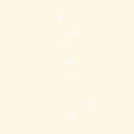 Cc1ccc(-n2c(-c3ccc(C=C(C#N)C#N)o3)ccc2-c2ccc(/C=C/C=C(C#N)C#N)o2)cc1